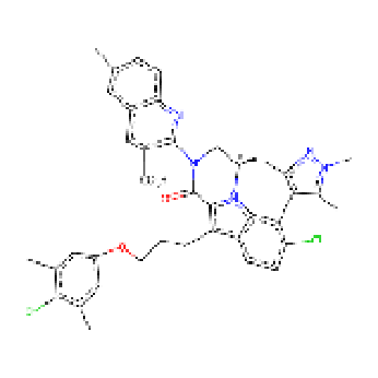 Cc1ccc2nc(N3C[C@@H](C)n4c(c(CCCOc5cc(C)c(Cl)c(C)c5)c5ccc(Cl)c(-c6c(C)nn(C)c6C)c54)C3=O)c(C(=O)O)cc2c1